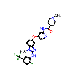 CN1CCC(C(=O)Nc2cc(Oc3ccc4c(c3)nc(Nc3cc(C(F)(F)F)ccc3F)n4C)ccn2)CC1